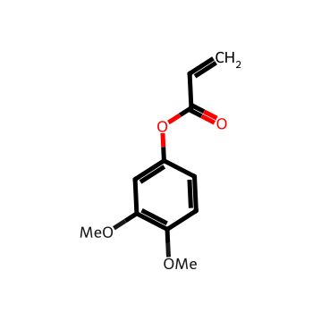 C=CC(=O)Oc1ccc(OC)c(OC)c1